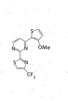 COc1ccsc1-c1c[c]nc(-c2nc(C(F)(F)F)cs2)n1